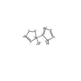 [O-][N+]1(c2ncc[nH]2)C=NCC1